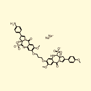 COc1ccc(C2=CN3C(=O)c4cc(OC)c(OCCCOc5cc6c(cc5OC)C(=O)N5C=C(c7ccc(N)cc7)C[C@H]5C(S(=O)(=O)[O-])=N6)cc4N[C@@H](S(=O)(=O)[O-])[C@@H]3C2)cc1.[Na+].[Na+]